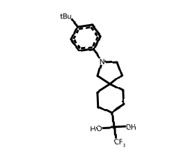 CC(C)(C)c1ccc(N2CCC3(CCC(C(O)(O)C(F)(F)F)CC3)C2)cc1